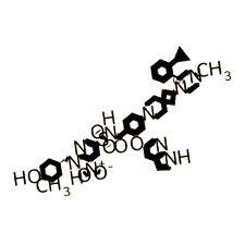 CN1CCN(C2CC3(CCN(c4ccc(C(=O)NS(=O)(=O)c5cnc(NC[C@H]6CC[C@](C)(O)CC6)c([N+](=O)[O-])c5)c(Oc5cnc6[nH]ccc6c5)c4)CC3)C2)[C@@H](c2ccccc2C2CC2)C1